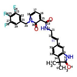 CC1(C)C(=O)Nc2cc(/C=C/CNC(=O)c3cccn(Cc4cc(F)c(F)c(F)c4)c3=O)ccc21